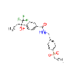 CCC(O)(c1ccc(C(=O)NCc2ccc(S(=O)(=O)CC)cc2)cc1)C(F)(F)F